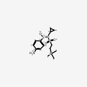 C[Si](C)(C)CCS(=O)(=O)N(C1CC1)[S+]([O-])c1ccc(N)cc1